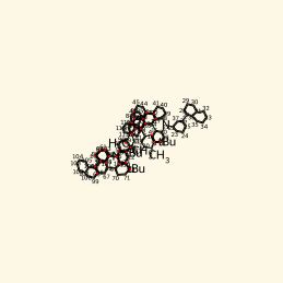 CC1C(C(C)(C)C)=CC(c2cccc3cccc(-c4ccccc4N(c4cccc(-c5cccc6ccccc56)c4)c4cccc(-c5cccc6c5ccc5c(CC(C)(C)c7cc(-c8cccc9cccc(-c%10ccccc%10N(c%10ccc(-c%11ccc%12ccccc%12c%11)cc%10)c%10cccc(-c%11cccc%12ccccc%11%12)c%10)c89)cc(C(C)(C)C)c7)cccc56)c4)c23)=CC1C(C)(C)C